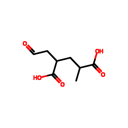 CC(CC(CC=O)C(=O)O)C(=O)O